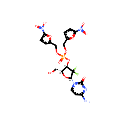 Nc1ccn([C@@H]2O[C@H](CO)[C@@H](OP(=O)(OCc3ccc([N+](=O)[O-])o3)OCc3ccc([N+](=O)[O-])o3)C2(F)F)c(=O)n1